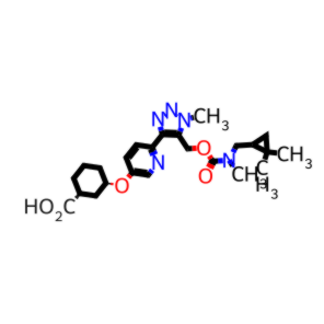 CN(CC1CC1(C)C)C(=O)OCc1c(-c2ccc(O[C@H]3CCC[C@H](C(=O)O)C3)cn2)nnn1C